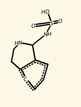 O=S(=O)(O)NC1NCCc2ccccc21